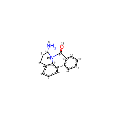 NC1CCc2ccccc2N1C(=O)c1ccccc1